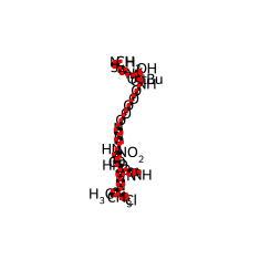 Cc1ncsc1-c1ccc(CNC(=O)[C@@H]2C[C@@H](O)CN2C(=O)[C@@H](NCCOCCOCCOCCOCCOCCN2CCN(C3CCC(CNc4ccc(S(=O)(=O)NC(=O)c5ccc(N6CCN(CC7=C(c8ccc(Cl)cc8)CC(C)(C)CC7)CC6)cc5Oc5cnc6[nH]ccc6c5)cc4[N+](=O)[O-])CC3)CC2)C(C)(C)C)cc1